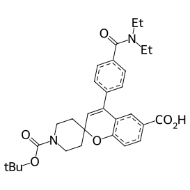 CCN(CC)C(=O)c1ccc(C2=CC3(CCN(C(=O)OC(C)(C)C)CC3)Oc3ccc(C(=O)O)cc32)cc1